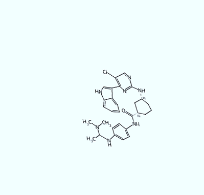 CC(Nc1ccc(NC(=O)[C@H]2CCC[C@@H](Nc3ncc(Cl)c(-c4c[nH]c5ccccc45)n3)C2)cc1)N(C)C